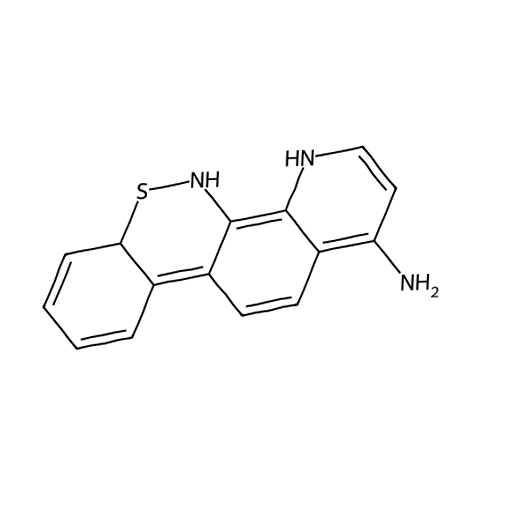 NC1=c2ccc3c(c2NC=C1)NSC1C=CC=CC=31